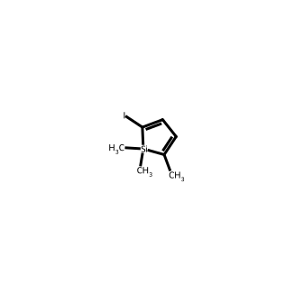 CC1=CC=C(I)[Si]1(C)C